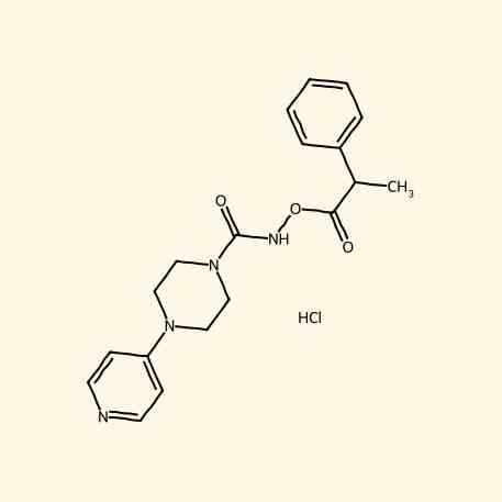 CC(C(=O)ONC(=O)N1CCN(c2ccncc2)CC1)c1ccccc1.Cl